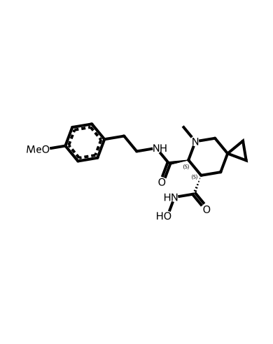 COc1ccc(CCNC(=O)[C@@H]2[C@@H](C(=O)NO)CC3(CC3)CN2C)cc1